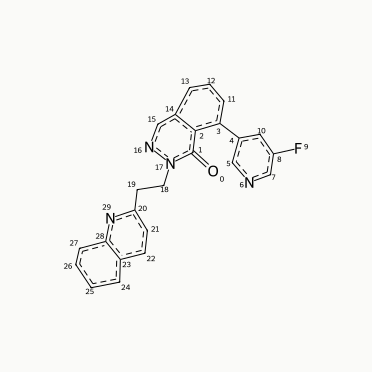 O=c1c2c(-c3cncc(F)c3)cccc2cnn1CCc1ccc2ccccc2n1